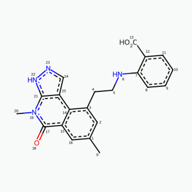 Cc1cc(CCNc2ccccc2C(=O)O)c2c(c1)c(=O)n(C)c1[nH]ncc21